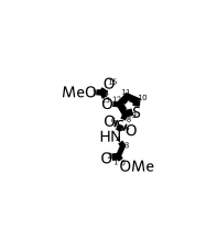 COC(=O)CNS(=O)(=O)c1sccc1OC(=O)OC